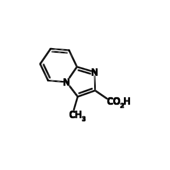 Cc1c(C(=O)O)nc2ccccn12